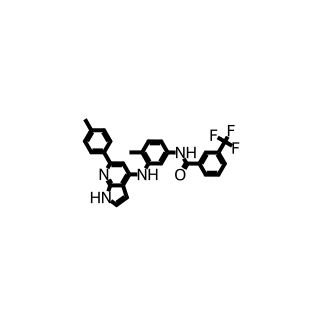 Cc1ccc(-c2cc(Nc3cc(NC(=O)c4cccc(C(F)(F)F)c4)ccc3C)c3cc[nH]c3n2)cc1